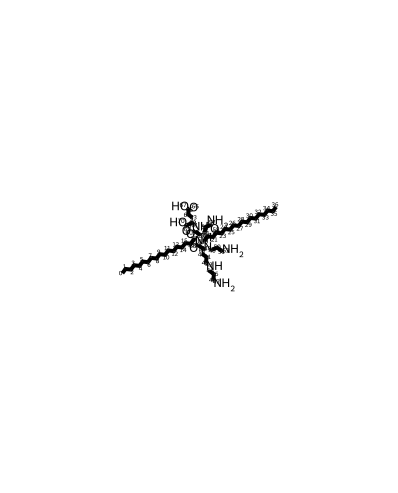 CCCCCCCCCCCCCCCCCC[N+](CCCCCCCCCCCCCCCCCC)(C(=O)[C@H](CCCNCCCN)NCCCN)[C@@H](CCC(N)=O)C(=O)N[C@@H](CCC(=O)O)C(=O)O